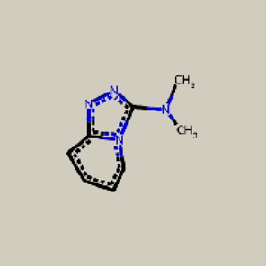 CN(C)c1nnc2ccccn12